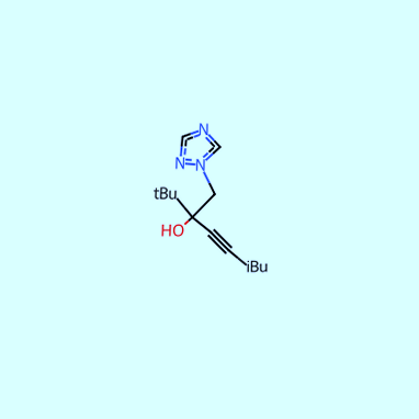 CCC(C)C#CC(O)(Cn1cncn1)C(C)(C)C